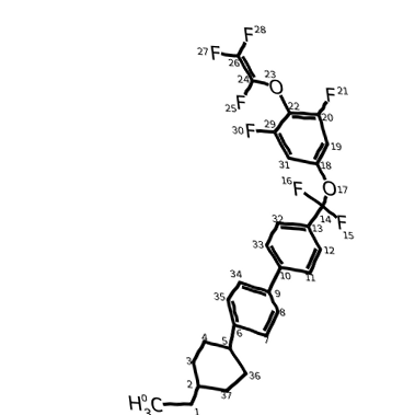 CCC1CCC(c2ccc(-c3ccc(C(F)(F)Oc4cc(F)c(OC(F)=C(F)F)c(F)c4)cc3)cc2)CC1